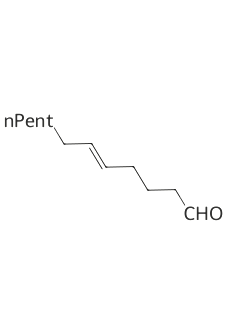 CCCCCC/C=C/CCCC=O